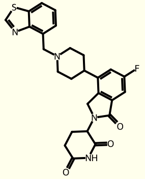 O=C1CCC(N2Cc3c(cc(F)cc3C3CCN(Cc4cccc5scnc45)CC3)C2=O)C(=O)N1